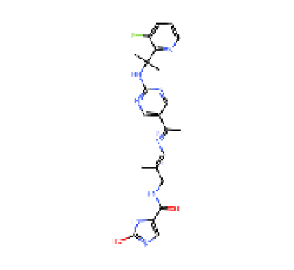 C/C(=C\N=C(/C)c1cnc(NC(C)(C)c2ncccc2F)nc1)CNC(=O)c1cnc(O)[nH]1